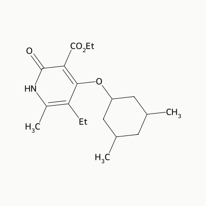 CCOC(=O)c1c(OC2CC(C)CC(C)C2)c(CC)c(C)[nH]c1=O